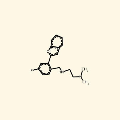 CN(C)CCNCc1ccc(F)cc1-c1cc2ccccc2o1